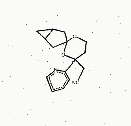 N#CCC1(c2ccccn2)CCOC2(CC3CC3C2)O1